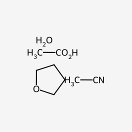 C1CCOC1.CC#N.CC(=O)O.O